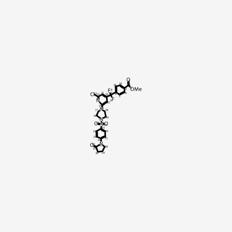 COC(=O)c1ccc(C(F)(F)c2cc(Cl)nc(N3CCN(S(=O)(=O)c4ccc(N5CCCC5=O)cc4)CC3)c2)cc1